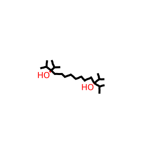 CC(C)C(O)(CCCCCCCCC(O)(C(C)C)C(C)C)C(C)C